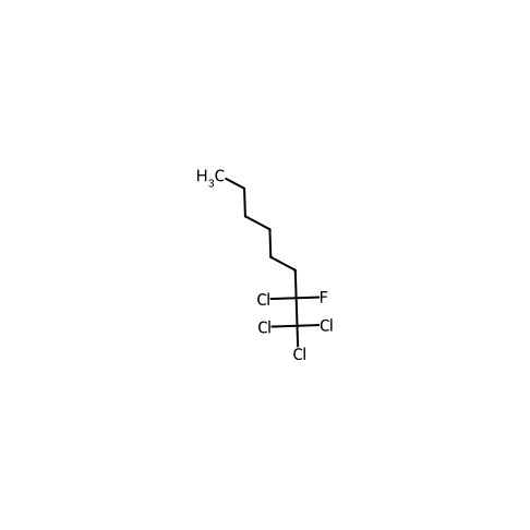 CCCCCCC(F)(Cl)C(Cl)(Cl)Cl